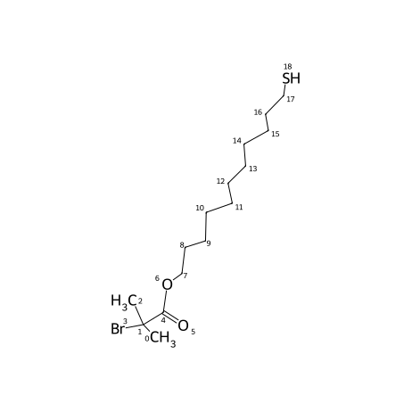 CC(C)(Br)C(=O)OCCCCCCCCCCCS